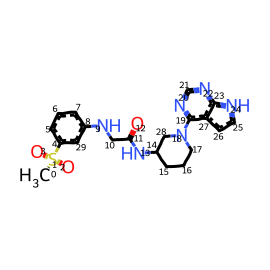 CS(=O)(=O)c1cccc(NCC(=O)NC2CCCN(c3ncnc4[nH]ccc34)C2)c1